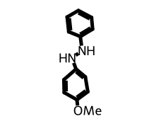 COc1ccc(NNc2ccccc2)cc1